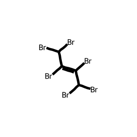 Br/C(=C(/Br)C(Br)Br)C(Br)Br